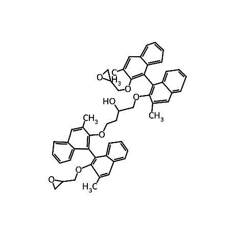 Cc1cc2ccccc2c(-c2c(OCC3CO3)c(C)cc3ccccc23)c1OCCC(O)COc1c(C)cc2ccccc2c1-c1c(OCC2CO2)c(C)cc2ccccc12